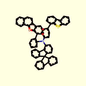 c1ccc(N(c2ccc(-c3cccc4c3sc3ccccc34)cc2)c2cccc3c2-c2ccccc2C32c3ccccc3-c3ccccc32)c(-c2cccc3c2oc2c4ccccc4ccc32)c1